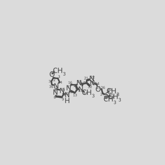 COC1CCN(c2nccc(Nc3cc4c(cn3)nc(-c3cnn(COCCS(C)(C)C)c3)n4C)n2)CC1